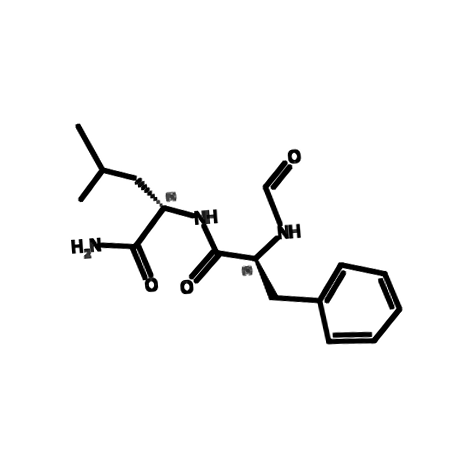 CC(C)C[C@H](NC(=O)[C@H](Cc1ccccc1)NC=O)C(N)=O